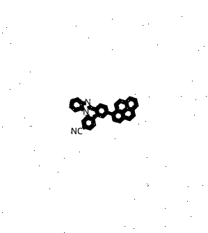 N#Cc1ccc2c3cc(-c4ccc5ccc6cccc7ccc4c5c67)ccc3c3nc4ccccc4n3c2c1